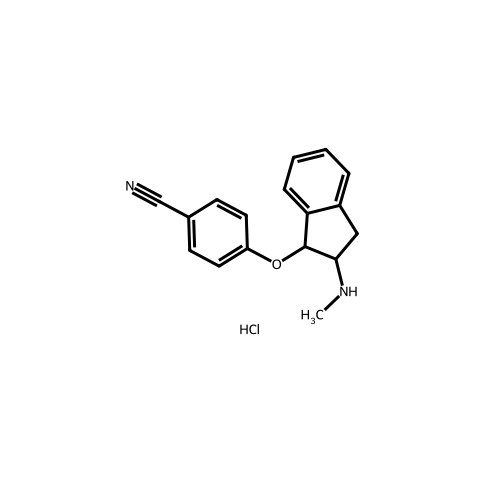 CNC1Cc2ccccc2C1Oc1ccc(C#N)cc1.Cl